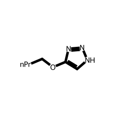 CCCCOc1c[nH]nn1